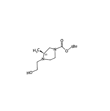 C[C@H]1CN(C(=O)OC(C)(C)C)CCN1CCO